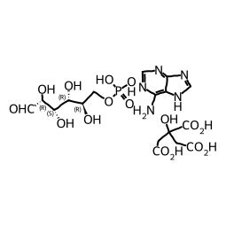 Nc1ncnc2nc[nH]c12.O=C(O)CC(O)(CC(=O)O)C(=O)O.O=C[C@H](O)[C@@H](O)[C@H](O)[C@H](O)COP(=O)(O)O